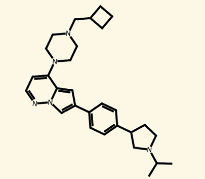 CC(C)N1CCC(c2ccc(-c3cc4c(N5CCN(CC6CCC6)CC5)ccnn4c3)cc2)C1